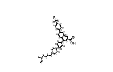 C=CC(C)CCCCN1CCC(c2ccc(-c3cc(C(=O)O)cc4cc(-c5ccc(C(F)(F)F)cc5)ccc34)cc2)CC1